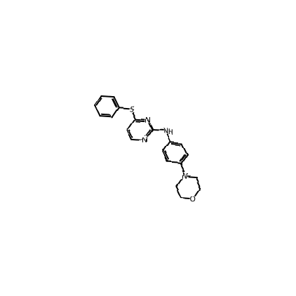 c1ccc(Sc2ccnc(Nc3ccc(N4CCOCC4)cc3)n2)cc1